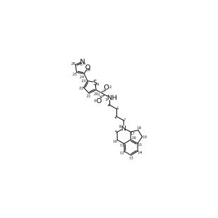 O=S(=O)(NCCCCN1CCc2cccc3c2C1CC3)c1ccc(-c2ccno2)s1